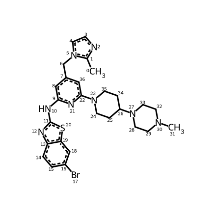 Cc1nccn1Cc1cc(Nc2nc3ccc(Br)cc3s2)nc(N2CCC(N3CCN(C)CC3)CC2)c1